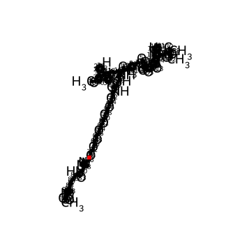 CCC1(OC(=O)OCc2ccc(NC(=O)[C@H](CCCCNC(c3ccccc3)(c3ccccc3)c3ccc(OC)cc3)NC(=O)COCC(=O)NCCOCCOCCOCCOCCOCCOCCOCCOCCn3cc(CNC(=O)CCCC#Cc4cnc(S(C)(=O)=O)nc4)nn3)cc2)C(=O)OCc2c1cc1n(c2=O)Cc2c-1nc1ccccc1c2CCN(C(C)C)S(C)(=O)=O